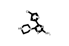 Nc1nc(-c2cc(Cl)cs2)c(N2CCNCC2)s1